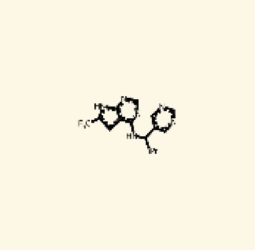 CC(C)C(Nc1ncnc2[nH]c(C(F)(F)F)cc12)c1cncnc1